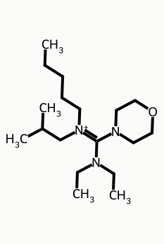 CCCCC/[N+](CC(C)C)=C(/N(CC)CC)N1CCOCC1